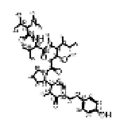 CCC(C)C(C(CC(=O)N1CCCC1C(SC)C(C)C(=O)NCCc1ccc(O)cc1)OC)N(C)C(=O)C(NC(=O)C(C(C)C)N(C)C)C(C)C